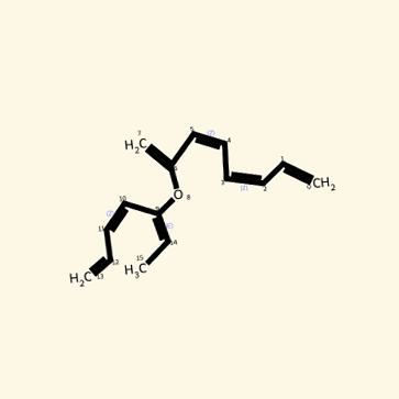 C=C/C=C\C=C/C(=C)OC(/C=C\C=C)=C/C